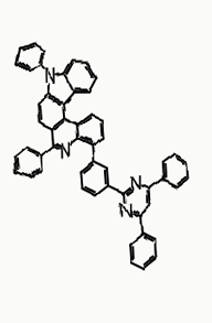 c1ccc(-c2cc(-c3ccccc3)nc(-c3cccc(-c4cccc5c4nc(-c4ccccc4)c4ccc6c(c7ccccc7n6-c6ccccc6)c45)c3)n2)cc1